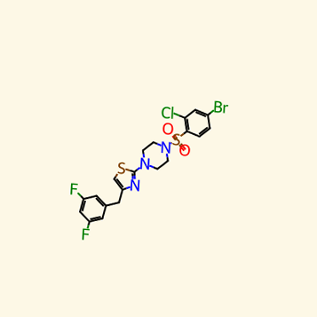 O=S(=O)(c1ccc(Br)cc1Cl)N1CCN(c2nc(Cc3cc(F)cc(F)c3)cs2)CC1